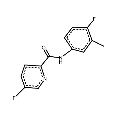 Cc1cc(NC(=O)c2ccc(F)cn2)ccc1F